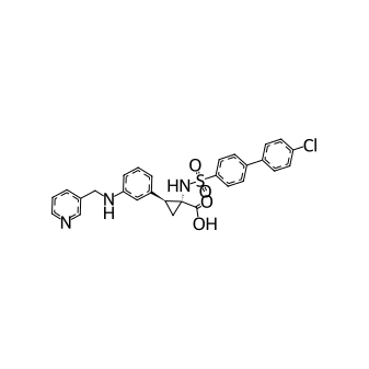 O=C(O)[C@@]1(NS(=O)(=O)c2ccc(-c3ccc(Cl)cc3)cc2)C[C@H]1c1cccc(NCc2cccnc2)c1